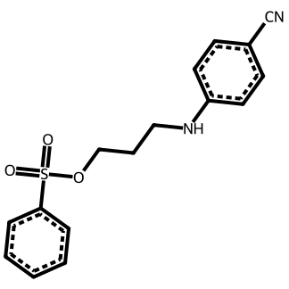 N#Cc1ccc(NCCCOS(=O)(=O)c2ccccc2)cc1